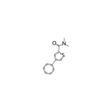 CN(C)C(=O)c1cc(-c2ccccc2)cs1